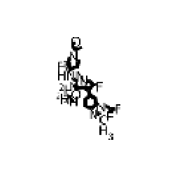 [2H]C([2H])([2H])Oc1nc(N[C@@H]2CCN(C3COC3)C[C@H]2F)nn2cc(F)c(-c3ccc4nc(C)n(CC(F)F)c4c3)c12